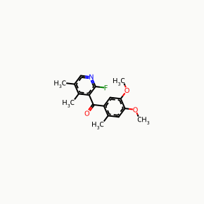 COc1cc(C)c(C(=O)c2c(F)ncc(C)c2C)cc1OC